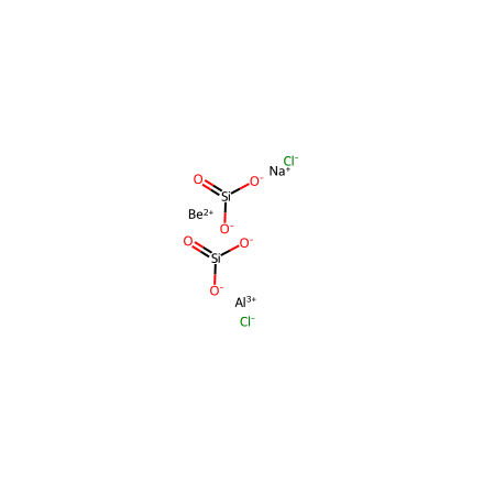 O=[Si]([O-])[O-].O=[Si]([O-])[O-].[Al+3].[Be+2].[Cl-].[Cl-].[Na+]